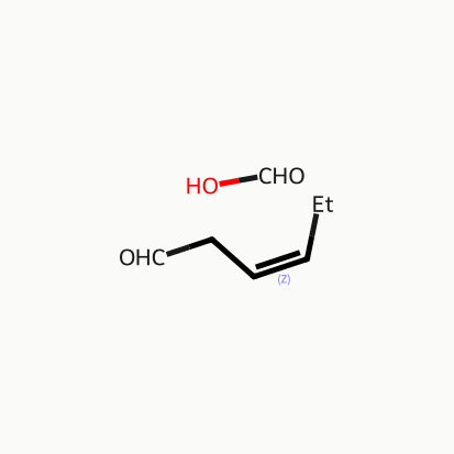 CC/C=C\CC=O.O=CO